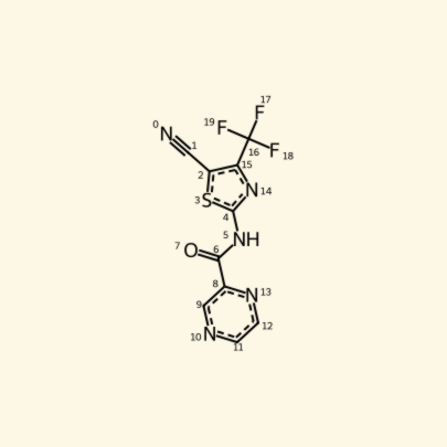 N#Cc1sc(NC(=O)c2cnccn2)nc1C(F)(F)F